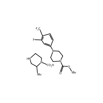 CC(C)(C)C1CNCCN1C(=O)O.CC(C)(C)OC(=O)N1CCN(c2ccc(C(F)(F)F)c(F)c2)CC1